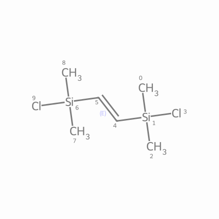 C[Si](C)(Cl)/C=C/[Si](C)(C)Cl